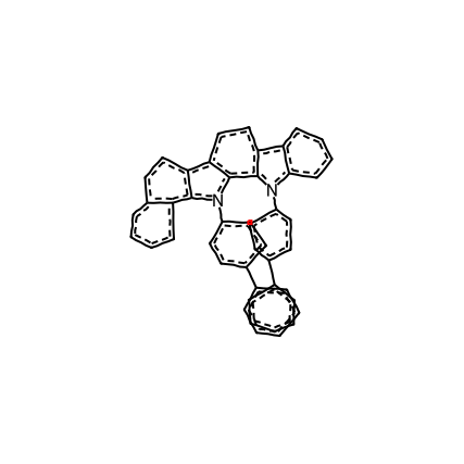 c1ccc(-c2ccc(-n3c4ccccc4c4ccc5c6ccc7ccccc7c6n(-c6ccc(-c7ccccc7)cc6)c5c43)cc2)cc1